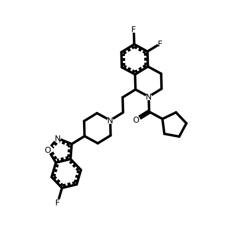 O=C(C1CCCC1)N1CCc2c(ccc(F)c2F)C1CCN1CCC(c2noc3cc(F)ccc23)CC1